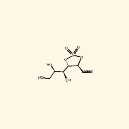 O=C[C@@H]1OS(=O)(=O)O[C@H]1[C@@H](O)[C@H](O)CO